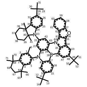 Cc1cc2c(cc1N1c3cc(C(C)(C)C)ccc3B3c4c1cc(N1c5ccc(C(C)(C)C)cc5C5(C)CCCCC15C)cc4-n1c4c3cc(C(C)(C)C)cc4c3oc4ccccc4c31)C(C)(C)CCC2(C)C